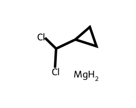 ClC(Cl)C1CC1.[MgH2]